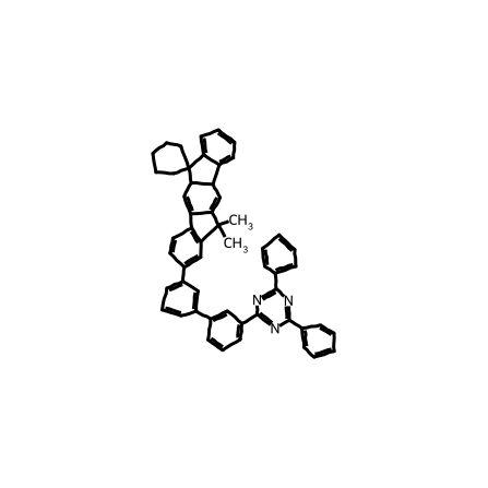 CC1(C)C2=CC3c4ccccc4C4(CCCCC4)C3C=C2c2ccc(-c3cccc(-c4cccc(-c5nc(-c6ccccc6)nc(-c6ccccc6)n5)c4)c3)cc21